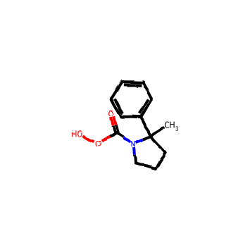 CC1(c2ccccc2)CCCN1C(=O)OO